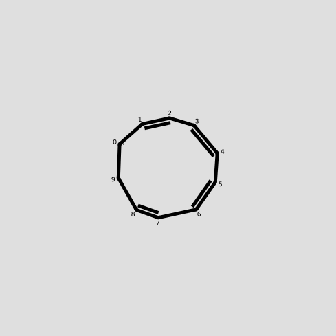 [CH]1C=CC=CC=CC=CC1